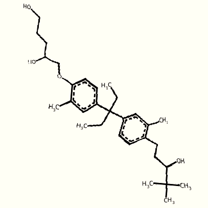 CCC(CC)(c1ccc(CCC(O)C(C)(C)C)c(C)c1)c1ccc(OCC(O)CCCO)c(C)c1